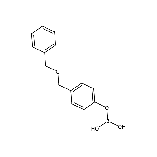 OB(O)Oc1ccc(COCc2ccccc2)cc1